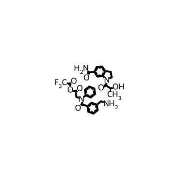 C[C@H](O)C(=O)N1CCc2ccc(C(N)=O)cc21.NCc1cccc(C(=O)N(CC(=O)OC(=O)C(F)(F)F)c2ccccc2)c1